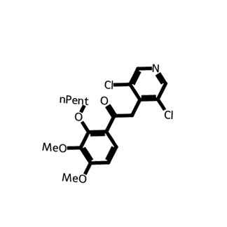 CCCCCOc1c(C(=O)Cc2c(Cl)cncc2Cl)ccc(OC)c1OC